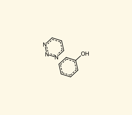 Oc1ccccc1.c1cnnnc1